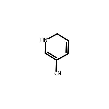 N#CC1=CNCC=C1